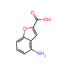 Nc1cccc2oc(C(=O)O)cc12